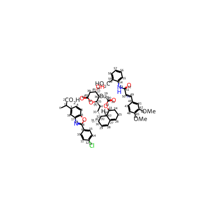 CC(C(=O)O)c1ccc2oc(-c3ccc(Cl)cc3)nc2c1.CC[C@H](C)C(=O)O[C@H]1CCC=C2C=C[C@H](C)[C@H](CC[C@@H]3C[C@@H](O)CC(=O)O3)[C@H]21.COc1ccc(/C=C/C(=O)Nc2ccccc2C(=O)O)cc1OC